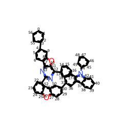 c1ccc(-c2ccc3c(c2)oc2c(-c4ccccc4)nc(-c4cccc5oc6ccc(-c7ccc8c(c7)c7ccccc7n8-c7ccccc7)cc6c45)nc23)cc1